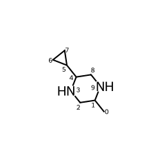 CC1CNC(C2CC2)CN1